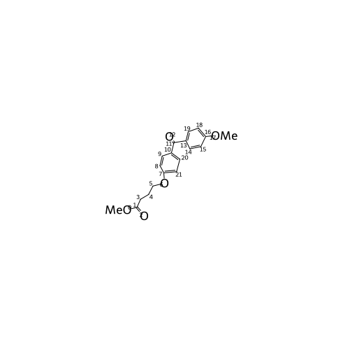 COC(=O)CCCOc1ccc(C(=O)c2ccc(OC)cc2)cc1